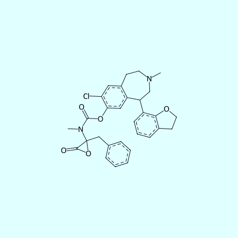 CN1CCc2cc(Cl)c(OC(=O)N(C)C3(Cc4ccccc4)OC3=O)cc2C(c2cccc3c2OCC3)C1